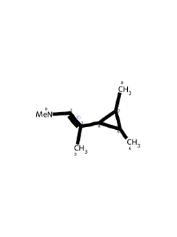 CN/C=C(\C)C1C(C)C1C